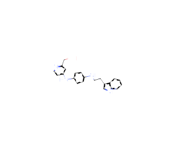 OCc1cc(Nc2ccc(NCCc3c[nH]c4ccccc34)cc2)ccn1